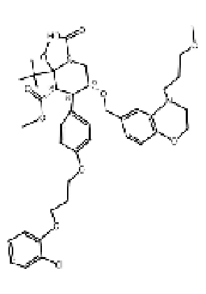 COCCCN1CCOc2ccc(CO[C@H]3CN(C(=O)O)C(OC)(C(C)(C)C)[C@@H](C(=O)OC)[C@@H]3c3ccc(OCCCOc4ccccc4Cl)cc3)cc21